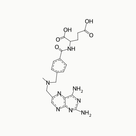 CN(Cc1ccc(C(=O)NC(CCC(=O)O)C(=O)O)cc1)Cc1cnc2nc(N)nc(N)c2n1